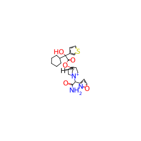 NC(=O)C(c1ccon1)[N+]12CCC(CC1)[C@@H](OC(=O)C(O)(c1ccsc1)C1CCCCC1)C2